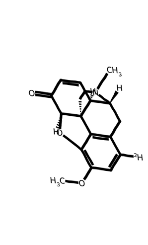 [2H]c1cc(OC)c2c3c1C[C@@H]1[C@@H]4C=CC(=O)[C@H](O2)[C@]34CCN1C